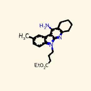 CCOC(=O)CCCn1c2ccc(C)cc2c2c(N)c3c(nc21)CCCC3